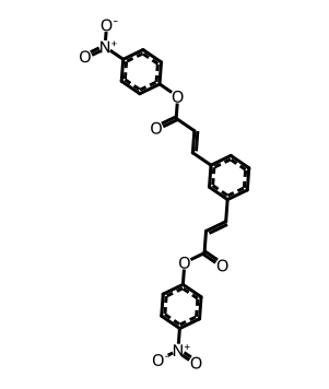 O=C(/C=C/c1cccc(/C=C/C(=O)Oc2ccc([N+](=O)[O-])cc2)c1)Oc1ccc([N+](=O)[O-])cc1